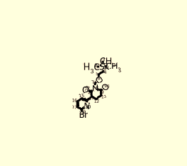 C[Si](C)(C)CCOCN1C(=O)CCC(c2cccc(Br)n2)C1=O